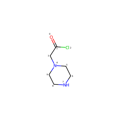 O=C(Cl)CN1CCNCC1